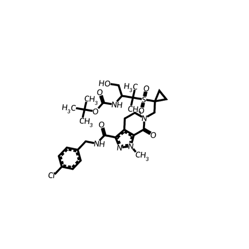 Cn1nc(C(=O)NCc2ccc(Cl)cc2)c2c1C(=O)N(CC1(S(=O)(=O)C(C)(C)C(CO)NC(=O)OC(C)(C)C)CC1)CC2